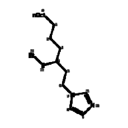 CCCCCCCCCCCC(CCn1ccnc1)SCC